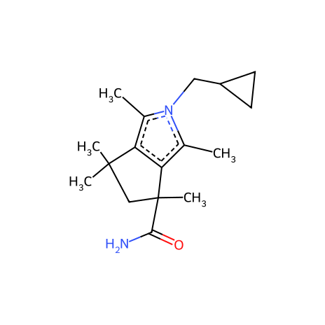 Cc1c2c(c(C)n1CC1CC1)C(C)(C(N)=O)CC2(C)C